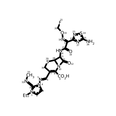 CCn1ccn(N=CC2=C(C(=O)O)N3C(=O)C(NC(=O)C(=NOCF)c4nsc(N)n4)C3SC2)c1=NC